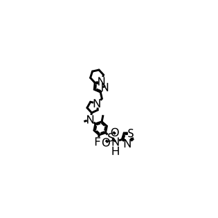 Cc1cc(S(=O)(=O)Nc2cscn2)c(F)cc1N(C)C1CCN(Cc2cc3n(n2)CCCC3)C1